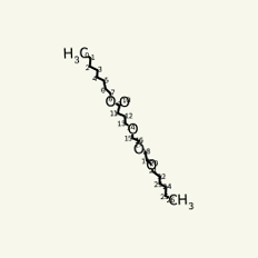 CCCCCCCCOC(=O)CCCOCCOCCOCCCCCC